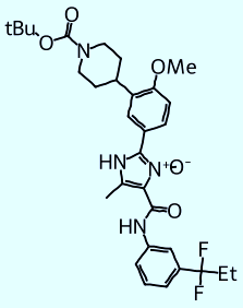 CCC(F)(F)c1cccc(NC(=O)c2c(C)[nH]c(-c3ccc(OC)c(C4CCN(C(=O)OC(C)(C)C)CC4)c3)[n+]2[O-])c1